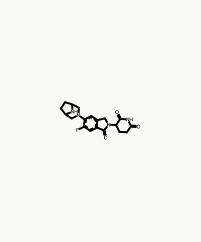 O=C1CCC(N2Cc3cc(N4CC5CCC(C4)N5)c(F)cc3C2=O)C(=O)N1